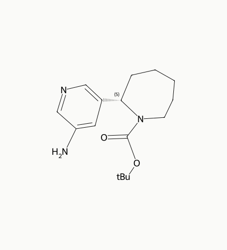 CC(C)(C)OC(=O)N1CCCCC[C@H]1c1cncc(N)c1